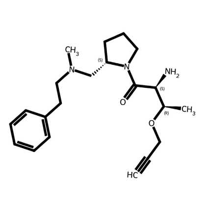 C#CCO[C@H](C)[C@H](N)C(=O)N1CCC[C@H]1CN(C)CCc1ccccc1